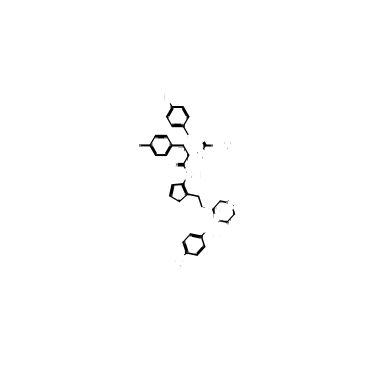 COC(=O)N[C@H](C(=O)NC1=C(CC[C@H]2CNC[C@H](C)N2S(=O)(=O)c2ccc(OC(F)(F)F)cc2)CC=C1)[C@@H](Cc1ccc(F)cc1)c1ccc(Cl)cc1